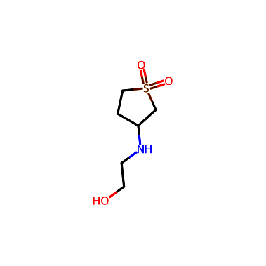 O=S1(=O)CCC(NCCO)C1